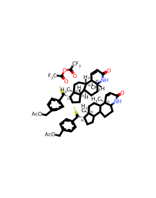 CC(=O)OCc1ccc(C(=S)[C@H]2CCC3C4CCC5NC(=O)C=C[C@]5(C)C4CC[C@@]32C)cc1.CC(=O)OCc1ccc(C(=S)[C@H]2CC[C@H]3[C@@H]4CC[C@H]5NC(=O)C=C[C@]5(C)[C@H]4CC[C@]23C)cc1.O=C(OC(=O)C(F)(F)F)C(F)(F)F